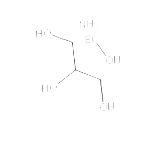 CCO.N.OCC(O)CO